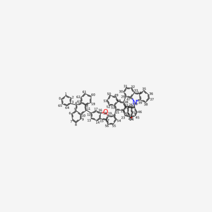 c1ccc(-c2c3ccccc3c(-c3ccc4c(c3)oc3c(-c5c6ccccc6c(-c6cccc7c8ccccc8n(-c8ccccc8)c67)c6ccccc56)cccc34)c3ccccc23)cc1